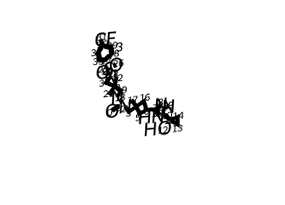 O=C(N1CC2(CC(c3nnc(C4(O)CC4)[nH]3)C2)C1)N1CC2(C1)CN(S(=O)(=O)c1ccc(C(F)(F)F)cc1)C2